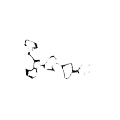 CC(C)=C1CCC(N2CCC(n3cc(CN4CCCC4)c4cccnc43)CC2)CC1